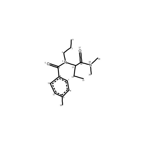 CCCN(C(=O)c1ccc(C)cc1)C(CC)C(=O)N(C)C